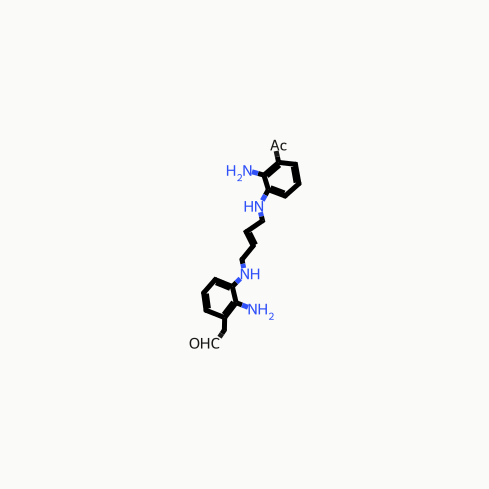 CC(=O)c1cccc(NC/C=C/CNc2cccc(CC=O)c2N)c1N